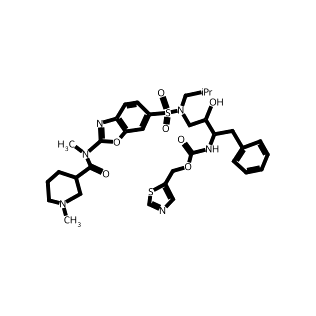 CC(C)CN(CC(O)C(Cc1ccccc1)NC(=O)OCc1cncs1)S(=O)(=O)c1ccc2nc(N(C)C(=O)C3CCCN(C)C3)oc2c1